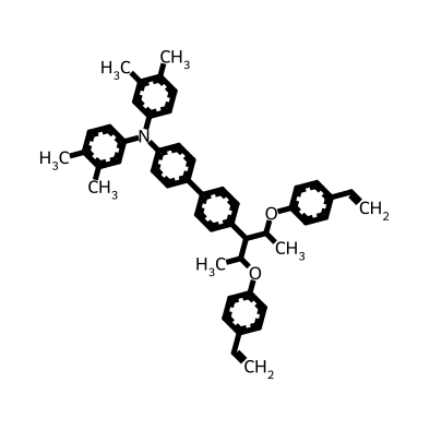 C=Cc1ccc(OC(C)C(c2ccc(-c3ccc(N(c4ccc(C)c(C)c4)c4ccc(C)c(C)c4)cc3)cc2)C(C)Oc2ccc(C=C)cc2)cc1